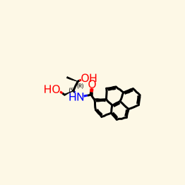 C[C@@H](O)[C@H](CO)NC(=O)c1ccc2ccc3cccc4ccc1c2c34